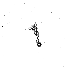 Cn1c(N2CCN(CCCOc3ccccc3)CC2)cc(=O)n(C)c1=O